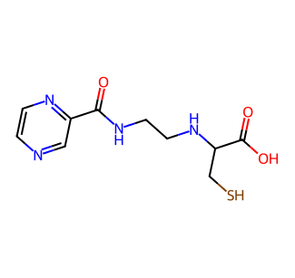 O=C(NCCNC(CS)C(=O)O)c1cnccn1